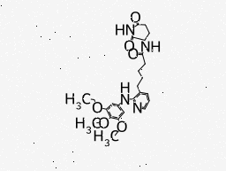 CCOc1cc(Nc2ncccc2CCCCC(=O)NC2CCC(=O)NC2=O)cc(OC)c1OC